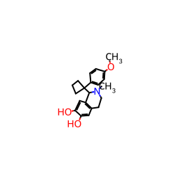 COc1ccc(C2(C3c4cc(O)c(O)cc4CCN3C)CCC2)cc1